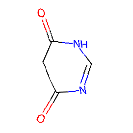 O=C1CC(=O)N[C]=N1